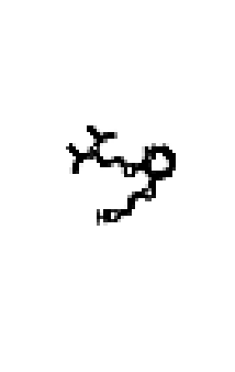 CC(C)N(CCOc1ncccc1OCCO)C(C)C